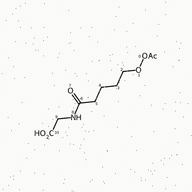 CC(=O)OOCCCCC(=O)NCC(=O)O